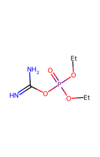 CCOP(=O)(OCC)OC(=N)N